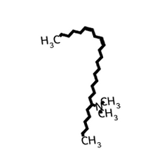 CCCCC/C=C\C/C=C\CCCCCCCCCC(CCCCCC)N(C)C